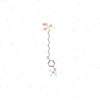 O=S(=O)(O)CCCCCCCCCOc1ccc(OC(F)(F)F)cc1